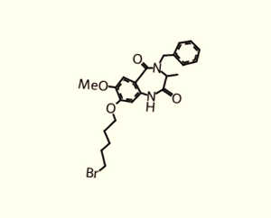 COc1cc2c(cc1OCCCCCBr)NC(=O)C(C)N(Cc1ccccc1)C2=O